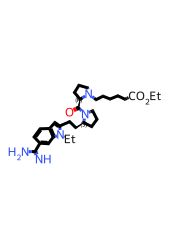 CCOC(=O)CCCCCN1CCC[C@@H]1C(=O)N1CCC[C@H]1CCc1cc2ccc(C(=N)N)cc2n1CC